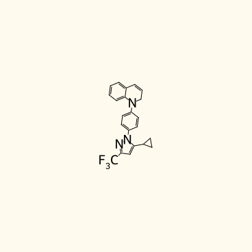 FC(F)(F)c1cc(C2CC2)n(-c2ccc(N3CC=Cc4ccccc43)cc2)n1